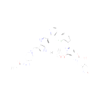 COc1nc(-c2cccc(-c3ccnc(-c4cnc5c(CN6CCC(NC(C)=O)CC6)cn(C)c5c4)c3Cl)c2Cl)ccc1CN(C[C@@H]1CCC(=O)N1)C(=O)O